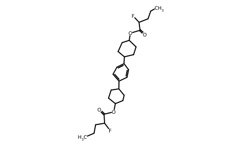 CCCC(F)C(=O)OC1CCC(c2ccc(C3CCC(OC(=O)C(F)CCC)CC3)cc2)CC1